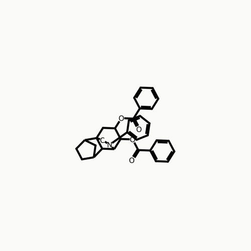 O=C(OC1CC23CN(c4ccccc4)C(C1OC(=O)c1ccccc1)C2C1CCC3C1)c1ccccc1